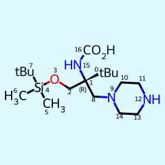 CC(C)(C)[C@](CO[Si](C)(C)C(C)(C)C)(CN1CCNCC1)NC(=O)O